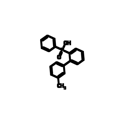 Cc1cccc(-c2ccccc2P(=O)(O)c2ccccc2)c1